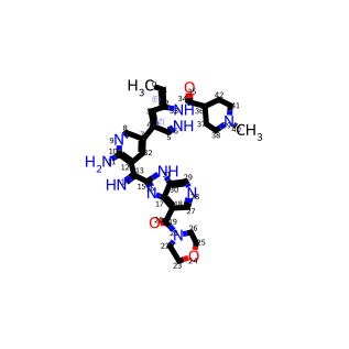 C/C=C(\C=C(/C=N)c1cnc(N)c(C(=N)c2nc3c(C(=O)N4CCOCC4)cncc3[nH]2)c1)NC(=O)C1CCN(C)CC1